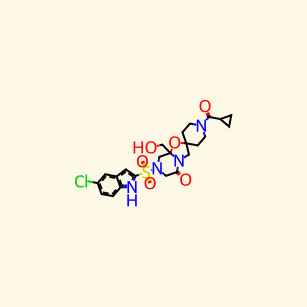 O=C(C1CC1)N1CCC2(CC1)CN1C(=O)CN(S(=O)(=O)c3cc4cc(Cl)ccc4[nH]3)CC1(CO)O2